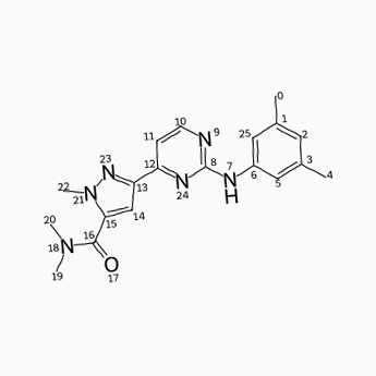 Cc1cc(C)cc(Nc2nccc(-c3cc(C(=O)N(C)C)n(C)n3)n2)c1